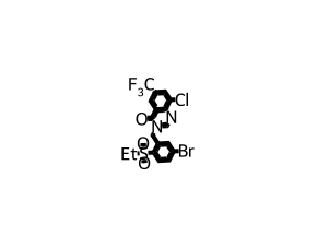 CCS(=O)(=O)c1ccc(Br)cc1Cn1cnc2c(Cl)cc(C(F)(F)F)cc2c1=O